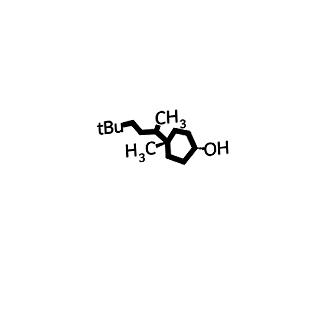 CC(CCC(C)(C)C)[C@]1(C)CC[C@H](O)CC1